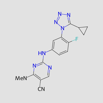 CNc1nc(Nc2ccc(F)c(-n3nnnc3C3CC3)c2)ncc1C#N